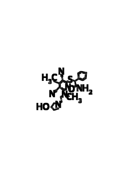 CCc1c(C#N)c(SC(C(N)=O)c2ccccc2)nc(N(C)CCN2CC[C@H](O)C2)c1C#N